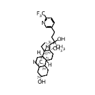 C[C@]12CC[C@H]3[C@@H](CCC4C[C@@H](O)CC[C@@]43C)[C@@H]1CC[C@@H]2[C@](C)(O)CCc1ccc(C(F)(F)F)nc1